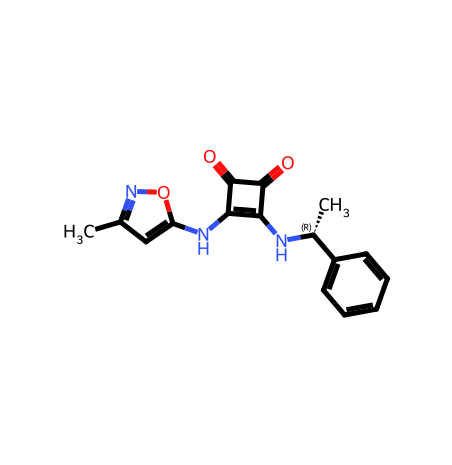 Cc1cc(Nc2c(N[C@H](C)c3ccccc3)c(=O)c2=O)on1